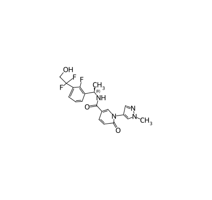 C[C@@H](NC(=O)c1ccc(=O)n(-c2cnn(C)c2)c1)c1cccc(C(F)(F)CO)c1F